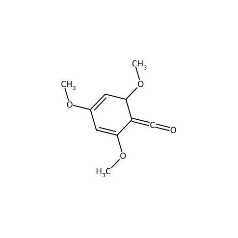 COC1=CC(OC)C(=C=O)C(OC)=C1